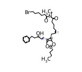 CCCCB1OC2CC(O1)[C@H](C/C=C\CCCC(=O)N(CC)C(=O)CCCCCBr)[C@H]2/C=C/[C@@H](O)CCc1ccccc1